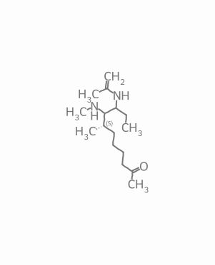 C=C(C)NC(CC)C(NC)[C@@H](C)CCCCC(C)=O